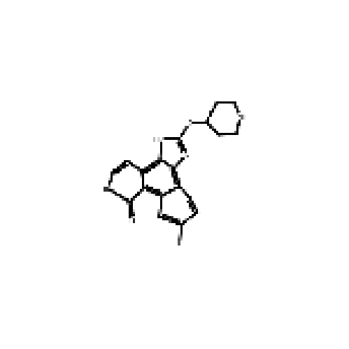 O=c1[nH]ccc2c3[nH]c(SC4CCNCC4)nc3c3ccc(F)cc3c12